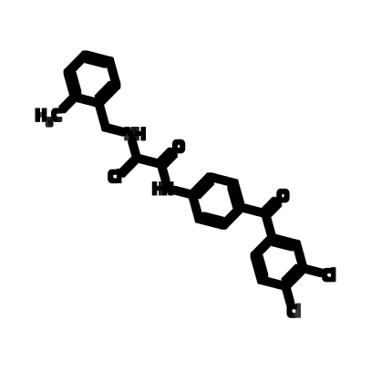 Cc1ccccc1CNC(Cl)C(=O)Nc1ccc(C(=O)c2ccc(Cl)c(Cl)c2)cc1